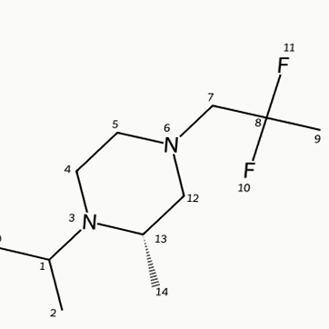 CC(C)N1CCN(CC(C)(F)F)C[C@@H]1C